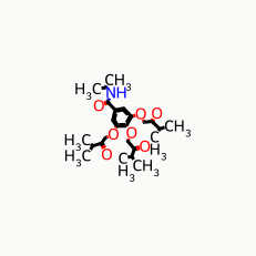 CC(C)NC(=O)c1cc(OCC(=O)C(C)C)c(OCC(=O)C(C)C)c(OCC(=O)C(C)C)c1